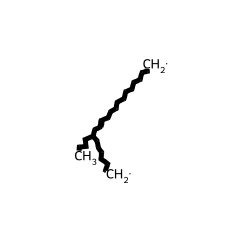 [CH2]CCCCCCCCCCCC=CCC(CCCC)CCCCCC[CH2]